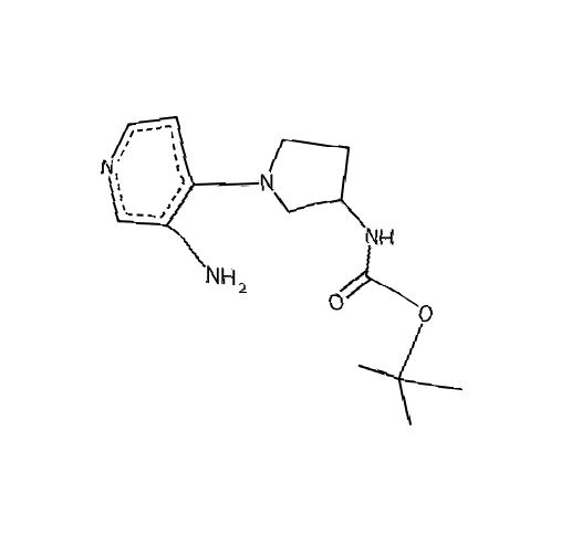 CC(C)(C)OC(=O)NC1CCN(c2ccncc2N)C1